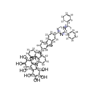 C\C=C(/N=C(\N=C(/C)C1=CC=CCC1)c1ccccc1)c1ccc2c(c1)sc1cc(-n3c4ccccc4c4c(-n5c6c(O)c(O)c(O)c(O)c6c6c(O)c(O)c(O)c(O)c65)cccc43)ccc12